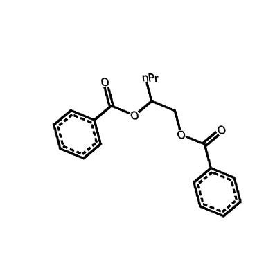 CCCC(COC(=O)c1ccccc1)OC(=O)c1ccccc1